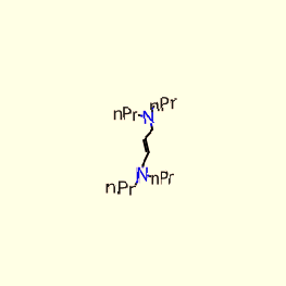 CCCN(CC=CCN(CCC)CCC)CCC